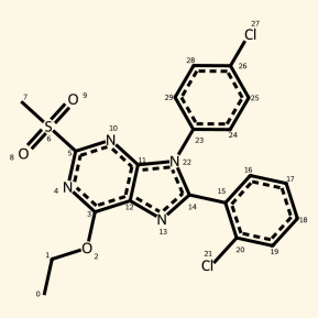 CCOc1nc(S(C)(=O)=O)nc2c1nc(-c1ccccc1Cl)n2-c1ccc(Cl)cc1